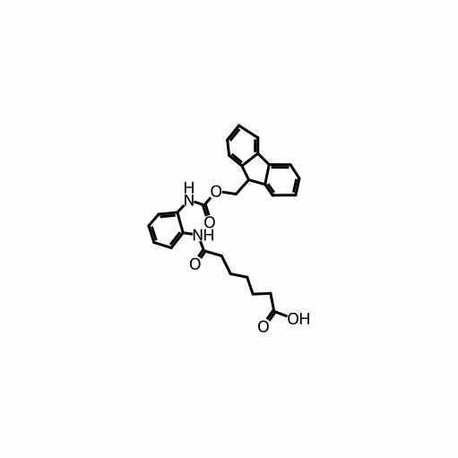 O=C(O)CCCCCC(=O)Nc1ccccc1NC(=O)OCC1c2ccccc2-c2ccccc21